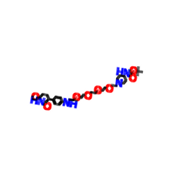 CC(C)(C)OC(=O)NC1CCN(CCOCCOCCOCCOCCNc2ccc(C3CCC(=O)NC3=O)cc2)CC1